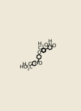 Cc1cc(C2CCC(=O)NC2=O)ccc1OC1CCC(C(=O)N2CCC(C)(C(=O)O)CC2)CC1